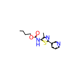 CCCCOC(=O)Nc1sc(-c2cccnc2)nc1C